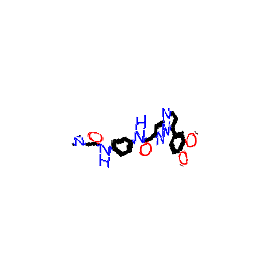 COc1ccc(-c2ccnc3cc(C(=O)Nc4ccc(NC(=O)CN(C)C)cc4)nn23)cc1OC